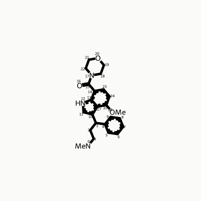 CNCCC(c1ccccc1)c1c[nH]c2c(C(=O)N3CCOCC3)ccc(OC)c12